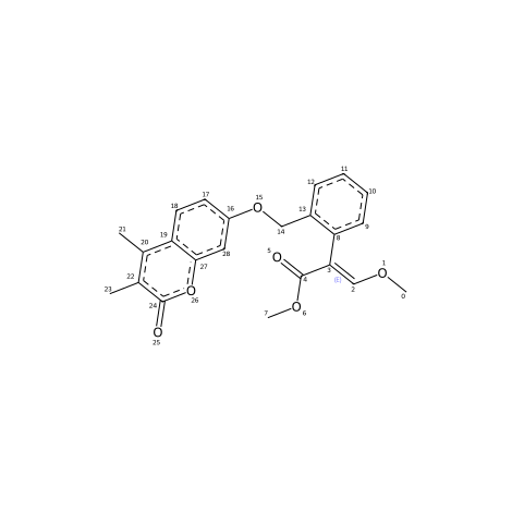 CO/C=C(/C(=O)OC)c1ccccc1COc1ccc2c(C)c(C)c(=O)oc2c1